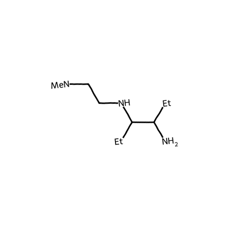 CCC(N)C(CC)NCCNC